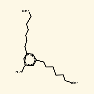 CCCCCCCCCCCCCCCCc1cc(CCCCCCCCCCCCCCCC)c[n+](CCCCCC)c1